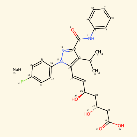 CC(C)c1c(C(=O)Nc2ccccc2)nn(-c2ccc(F)cc2)c1C=C[C@H](O)C[C@@H](O)CC(=O)O.[NaH]